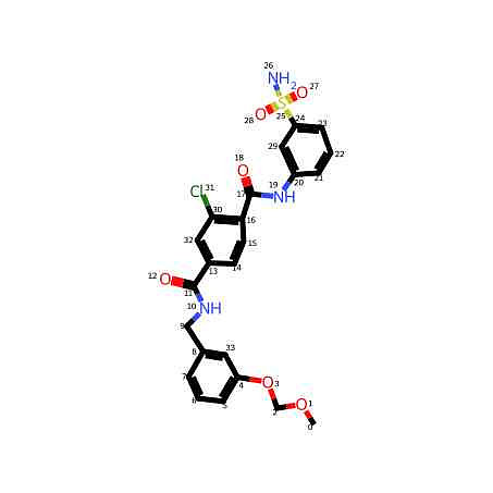 COCOc1cccc(CNC(=O)c2ccc(C(=O)Nc3cccc(S(N)(=O)=O)c3)c(Cl)c2)c1